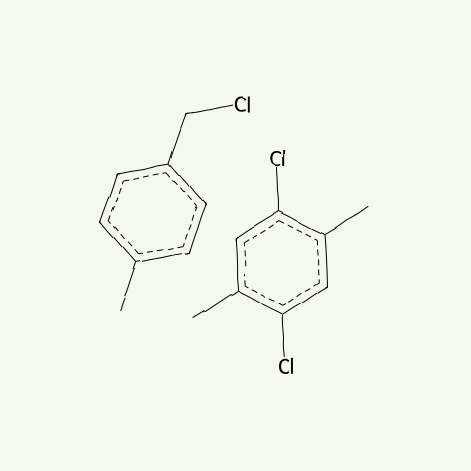 Cc1cc(Cl)c(C)cc1Cl.Cc1ccc(CCl)cc1